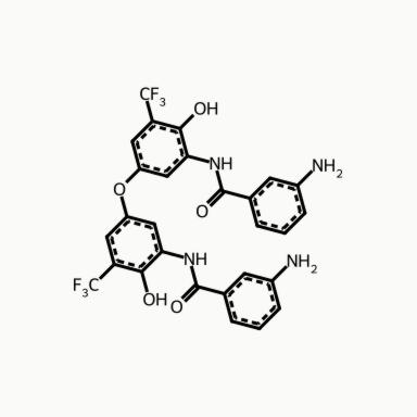 Nc1cccc(C(=O)Nc2cc(Oc3cc(NC(=O)c4cccc(N)c4)c(O)c(C(F)(F)F)c3)cc(C(F)(F)F)c2O)c1